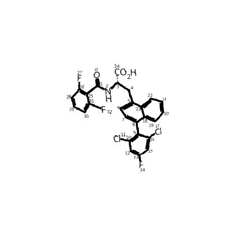 O=C(N[C@@H](Cc1ccc(-c2c(Cl)cc(F)cc2Cl)c2ccccc12)C(=O)O)c1c(F)cccc1F